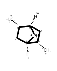 C[C@H]1C[C@H]2P[C@@H]1C[C@@H]2C